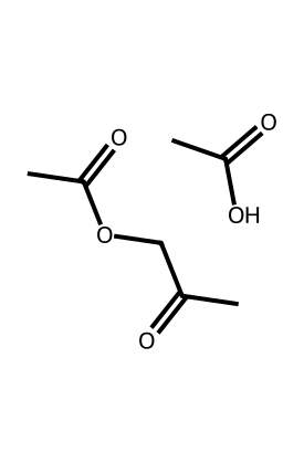 CC(=O)COC(C)=O.CC(=O)O